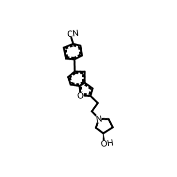 N#Cc1ccc(-c2ccc3oc(CCN4CC[C@@H](O)C4)cc3c2)cc1